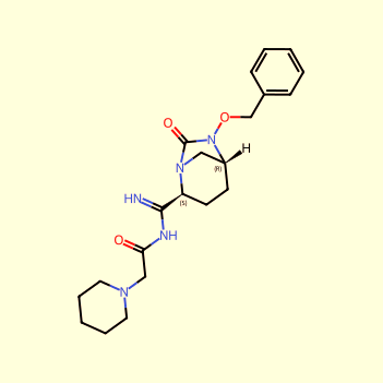 N=C(NC(=O)CN1CCCCC1)[C@@H]1CC[C@@H]2CN1C(=O)N2OCc1ccccc1